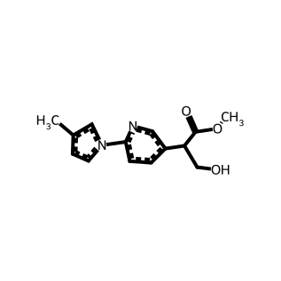 COC(=O)C(CO)c1ccc(-n2ccc(C)c2)nc1